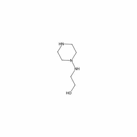 OCCNN1CCNCC1